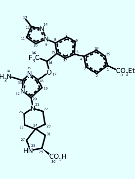 CCOC(=O)c1ccc(-c2ccc(-n3ccc(C)n3)c(C(Oc3cc(N4CCC5(CC4)CN[C@H](C(=O)O)C5)nc(N)n3)C(F)(F)F)c2)cc1